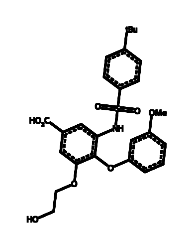 COc1cccc(Oc2c(NS(=O)(=O)c3ccc(C(C)(C)C)cc3)cc(C(=O)O)cc2OCCO)c1